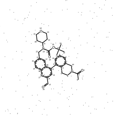 CC(=O)N1CCc2c(cccc2-c2cc(C=O)nc3ccc(CN(C(=O)OC(C)(C)C)C4CCOCC4)cc23)C1